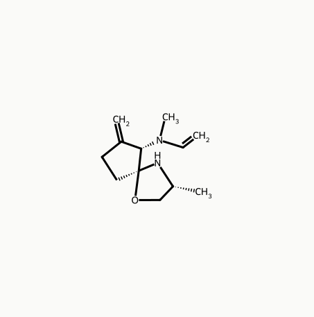 C=CN(C)[C@H]1C(=C)CC[C@@]12N[C@H](C)CO2